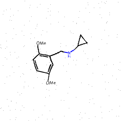 COc1ccc(OC)c(CNC2CC2)c1